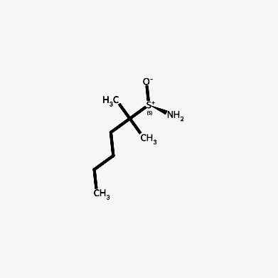 CCCCC(C)(C)[S@+](N)[O-]